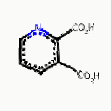 O=C(O)c1[c]ccnc1C(=O)O